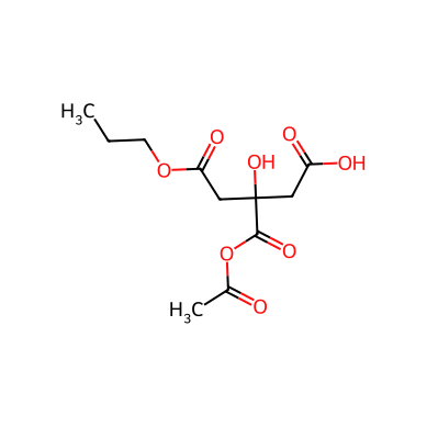 CCCOC(=O)CC(O)(CC(=O)O)C(=O)OC(C)=O